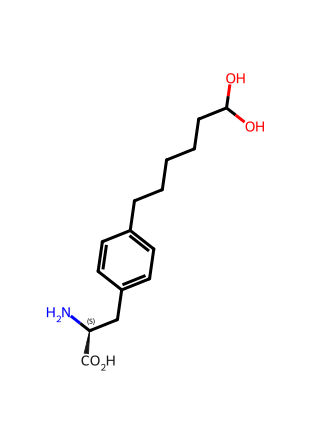 N[C@@H](Cc1ccc(CCCCCC(O)O)cc1)C(=O)O